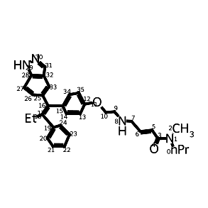 CCCN(C)C(=O)/C=C/CNCCOc1ccc(/C(=C(/CC)c2ccccc2)c2ccc3[nH]ncc3c2)cc1